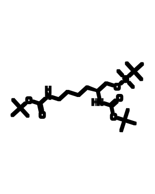 CC(C)(C)OC(=O)NCCCC[C@@H](CO[Si](C)(C)C(C)(C)C)NC(=O)OC(C)(C)C